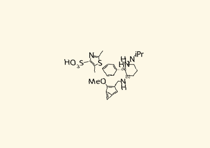 CC(C)N.COc1c(CN[C@H]2CCCN[C@H]2c2ccccc2)cc2cc1-2.Cc1nc(S(=O)(=O)O)c(C)s1